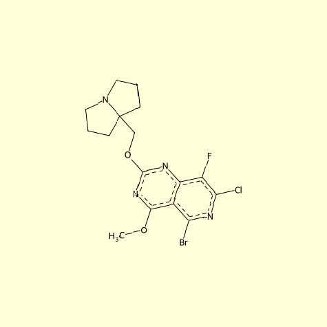 COc1nc(OCC23CCCN2CCC3)nc2c(F)c(Cl)nc(Br)c12